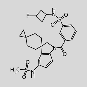 CS(=O)(=O)Nc1ccc2c(c1)C1(CCC3(CC3)CC1)CN2C(=O)c1cccc(S(=O)(=O)NC2CC(F)C2)c1